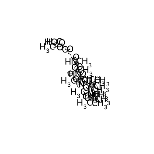 CCC(CO)OC(COC(=O)CCCC(=O)N[C@H](C)C(=O)OC(c1ccccc1)[C@@H](C)NC(=O)[C@H](C)[C@@H](OC)[C@@H]1CCCN1C(=O)C[C@@H](OC)[C@H]([C@@H](C)CC)N(C)C(=O)C(NC(=O)[C@H](C(C)C)N(C)C)C(C)C)OC